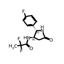 CC(F)(F)C(=O)N[C@@H]1CC(=O)N[C@H]1c1ccc(F)cc1